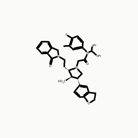 CCCC(CCC)N(C(=O)CN1C[C@H](c2ccc3c(c2)CCO3)[C@@H](C(=O)O)[C@@H]1CCN1Cc2ccccc2C1=O)c1ccc(F)c(C)c1